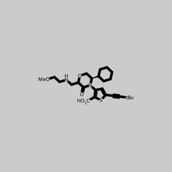 COCCNCC1OC[C@@H](C2CCCCC2)N(c2cc(C#CC(C)(C)C)sc2C(=O)O)C1=O